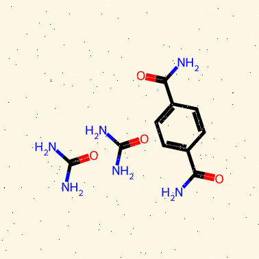 NC(=O)c1ccc(C(N)=O)cc1.NC(N)=O.NC(N)=O